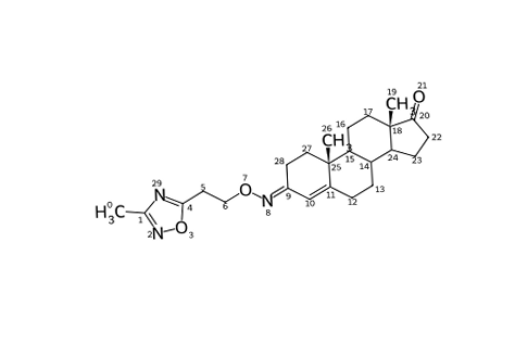 Cc1noc(CCO/N=C2/C=C3CCC4C(CC[C@]5(C)C(=O)CCC45)[C@@]3(C)CC2)n1